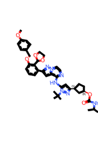 COc1ccc(COc2cccc(-c3cc4c(Nc5cc([C@H]6CC[C@@H](OC(=O)NC(C)C)C6)nn5C(C)(C)C)nccn4n3)c2C2OCCO2)cc1